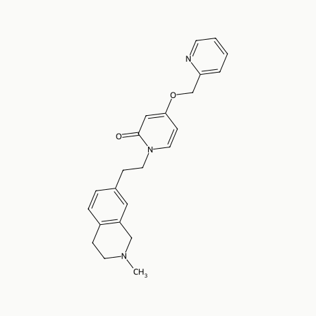 CN1CCc2ccc(CCn3ccc(OCc4ccccn4)cc3=O)cc2C1